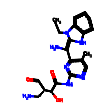 CCN1/C(=C(\N)c2nc(NC(=O)[C@@H](O)[C@@H](C=O)CN)ncc2C)Nc2ccccc21